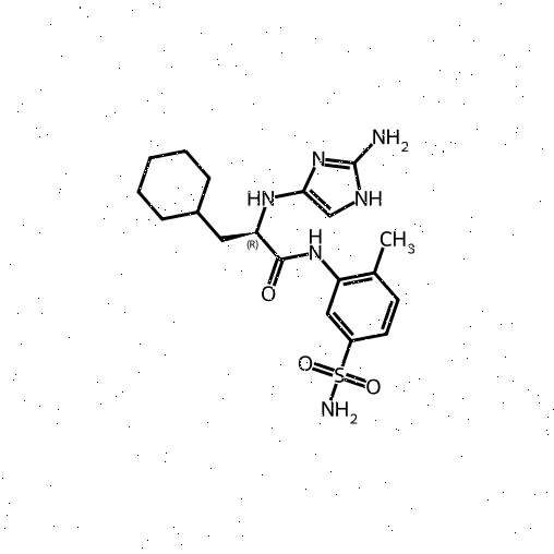 Cc1ccc(S(N)(=O)=O)cc1NC(=O)[C@@H](CC1CCCCC1)Nc1c[nH]c(N)n1